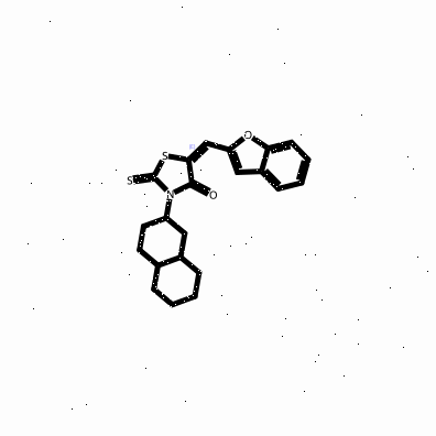 O=C1/C(=C\c2cc3ccccc3o2)SC(=S)N1C1CCC2CCCCC2C1